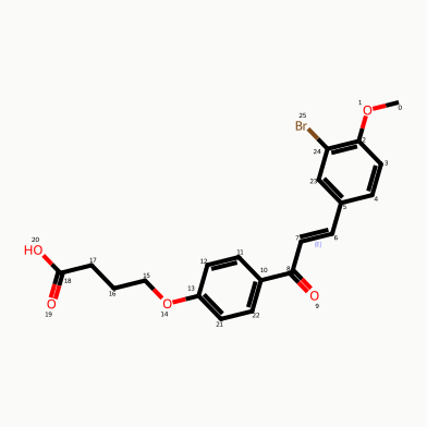 COc1ccc(/C=C/C(=O)c2ccc(OCCCC(=O)O)cc2)cc1Br